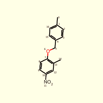 Cc1ccc(COc2ccc([N+](=O)[O-])cc2C)cc1